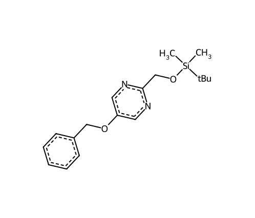 CC(C)(C)[Si](C)(C)OCc1ncc(OCc2ccccc2)cn1